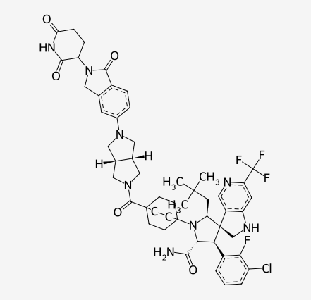 CC(C)(C)C[C@@H]1N(C23CCC(C(=O)N4C[C@@H]5CN(c6ccc7c(c6)CN(C6CCC(=O)NC6=O)C7=O)C[C@@H]5C4)(CC2)CC3)[C@@H](C(N)=O)[C@H](c2cccc(Cl)c2F)[C@]12CNc1cc(C(F)(F)F)ncc12